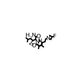 CSC(CC(C)C)C(C(N)=O)n1nc(CCN2CC(F)C2)c(C)c(C)c1=O